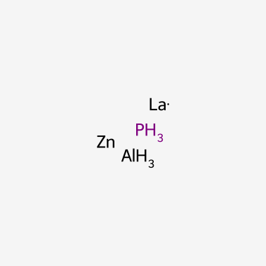 P.[AlH3].[La].[Zn]